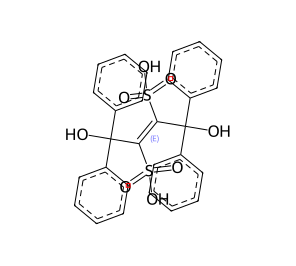 O=S(=O)(O)/C(=C(\C(O)(c1ccccc1)c1ccccc1)S(=O)(=O)O)C(O)(c1ccccc1)c1ccccc1